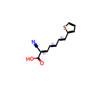 N#C\C(=C/C=C/C=C/c1cccs1)C(=O)O